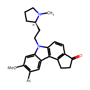 COc1cc2c(cc1C(C)=O)c1c3c(ccc1n2CC[C@H]1CCCN1C)C(=O)CC3